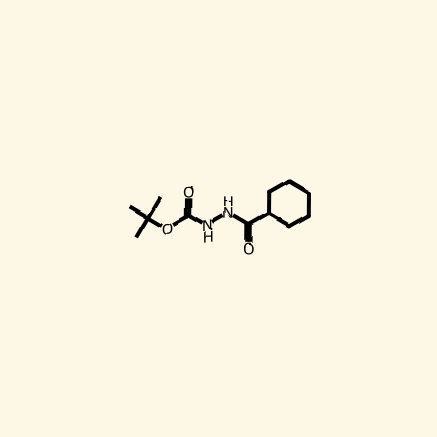 CC(C)(C)OC(=O)NNC(=O)C1CCCCC1